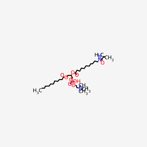 C=C(C)C(=O)NCCCCCCCCCCC(=O)OC(COC(=O)CCCCCCCCCCC)COP(=O)(O)OCC[N+](C)(C)C